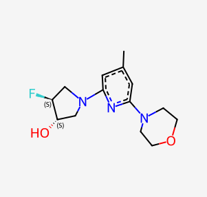 Cc1cc(N2CCOCC2)nc(N2C[C@H](O)[C@@H](F)C2)c1